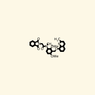 COc1ccc(N(C)C(=O)CN2C(=O)c3ccccc3C2=O)c(OC)c1COc1cccc2ccc(C)nc12